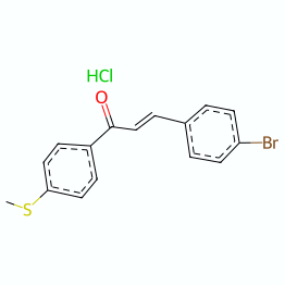 CSc1ccc(C(=O)C=Cc2ccc(Br)cc2)cc1.Cl